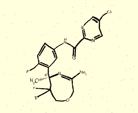 C[C@]1(c2cc(NC(=O)c3ncc(Cl)cn3)ccc2F)N=C(N)COCC1(F)F